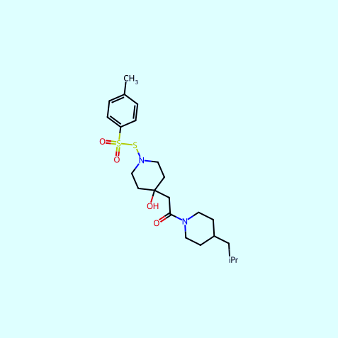 Cc1ccc(S(=O)(=O)SN2CCC(O)(CC(=O)N3CCC(CC(C)C)CC3)CC2)cc1